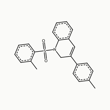 Cc1ccc(C2=Cc3ccccc3N(S(=O)(=O)c3ccccc3C)C2)cc1